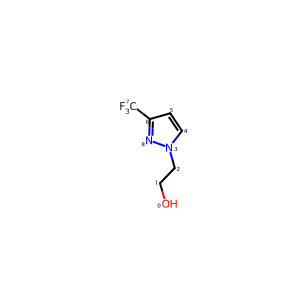 OCCn1ccc(C(F)(F)F)n1